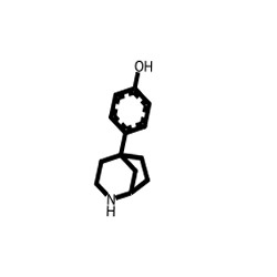 Oc1ccc(C23CCNC(CC2)C3)cc1